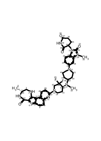 C[C@@H]1CNc2c(sc3ccc4nc(N5CC[C@H](N(C)C6CCN(c7ccc8c(c7)n(C)c(=O)n8C7CCC(=O)NC7=O)CC6)C(F)(F)C5)ccc4c23)C(=O)N1